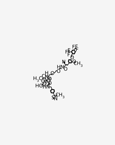 COc1cc(/C=C(\C#N)C(=O)NCCOCCOCCC(=O)N[C@H](C(=O)N2C[C@H](O)C[C@H]2C(=O)NCc2ccc(-c3scnc3C)cc2)C(C)(C)C)ccc1OCc1ccc(C(F)(F)F)cc1C(F)(F)F